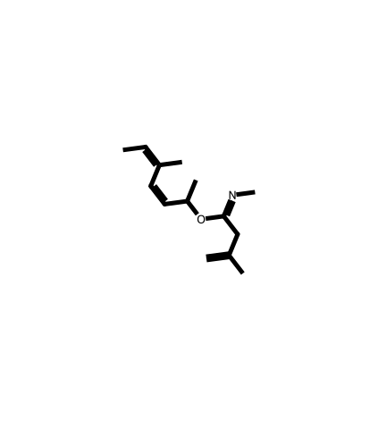 C=C(C)C/C(=N\C)OC(C)/C=C\C(C)=C/C